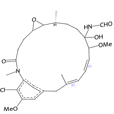 COc1cc2cc(c1Cl)N(C)C(=O)CCC1OC1[C@H](C)CCC(O)(NC=O)C(OC)/C=C\C=C(/C)C2